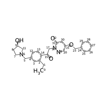 CCc1cc(CN2CC[C@@H](O)C2)ccc1C(=O)Cn1ncc(OCc2ccccc2)cc1=O